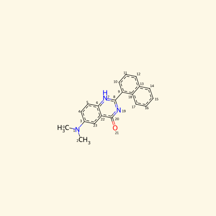 CN(C)c1ccc2[nH]c(-c3cccc4ccccc34)nc(=O)c2c1